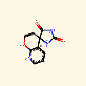 O=C1NC(=O)C2(C=COc3ncccc32)N1